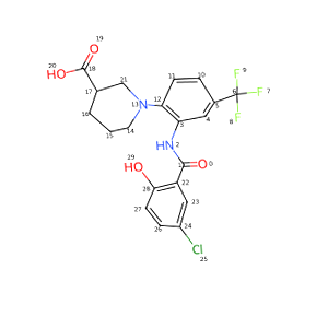 O=C(Nc1cc(C(F)(F)F)ccc1N1CCCC(C(=O)O)C1)c1cc(Cl)ccc1O